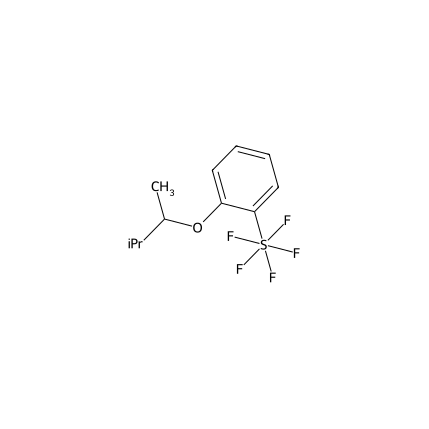 CC(C)C(C)Oc1ccccc1S(F)(F)(F)(F)F